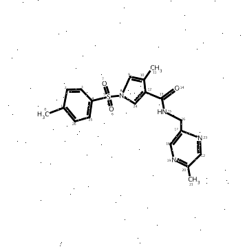 Cc1ccc(S(=O)(=O)n2cc(C)c(C(=O)NCc3cnc(C)cn3)c2)cc1